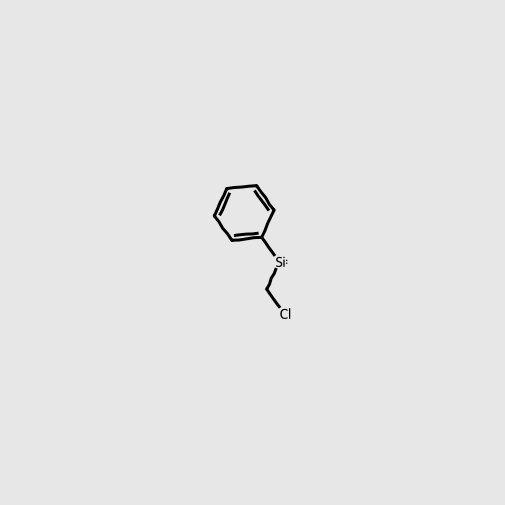 ClC[Si]c1ccccc1